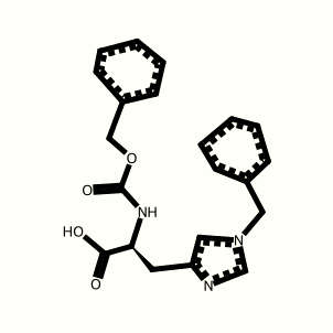 O=C(N[C@@H](Cc1cn(Cc2ccccc2)cn1)C(=O)O)OCc1ccccc1